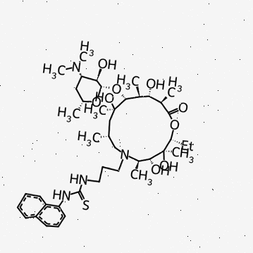 CC[C@H]1OC(=O)[C@H](C)[C@@H](O)[C@H](C)[C@@H](O[C@@H]2O[C@H](C)C[C@H](N(C)C)[C@H]2O)[C@](C)(O)C[C@@H](C)CN(CCCNC(=S)Nc2cccc3ccccc23)[C@H](C)[C@@H](O)[C@]1(C)O